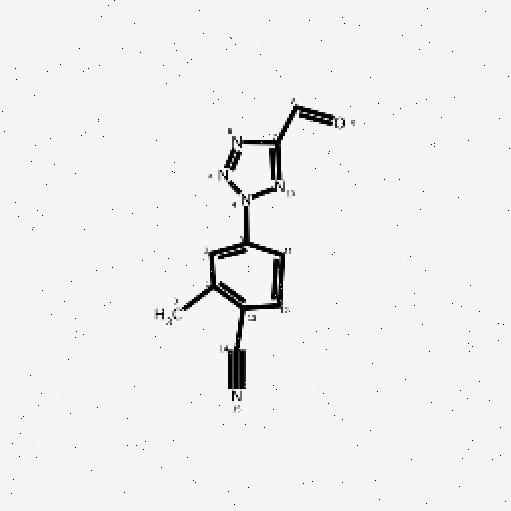 Cc1cc(-n2nnc(C=O)n2)ccc1C#N